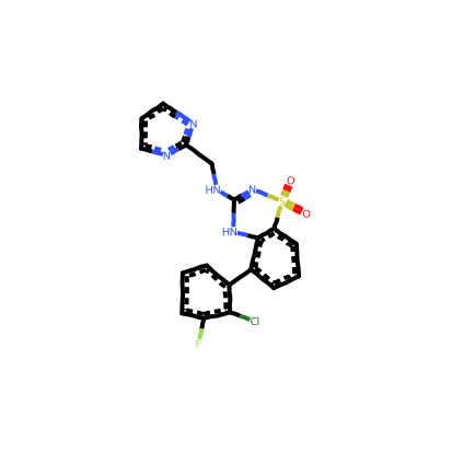 O=S1(=O)N=C(NCc2ncccn2)Nc2c(-c3cccc(F)c3Cl)cccc21